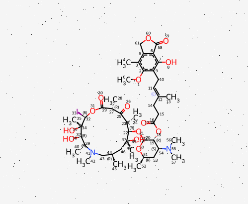 COc1c(C)c2c(c(O)c1C/C=C(\C)CCC(=O)O[C@H]1[C@H](O[C@@H]3[C@@H](C)C(=O)[C@@H](C)C(=O)O[C@H](I)[C@@](C)(O)[C@H](O)[C@@H](C)N(C)C[C@H](C)C[C@@]3(C)O)O[C@H](C)C[C@@H]1N(C)C)C(=O)OC2